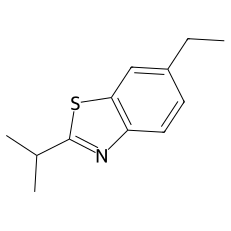 CCc1ccc2nc(C(C)C)sc2c1